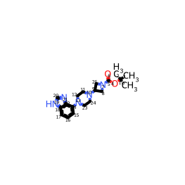 CC(C)(C)OC(=O)N1CC(N2CCN(c3cccc4[nH]cnc34)CC2)C1